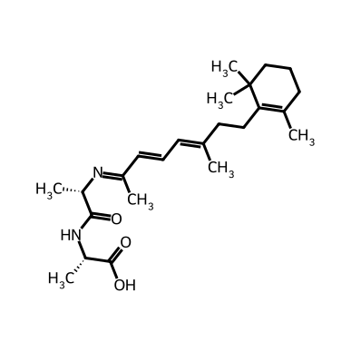 CC1=C(CC/C(C)=C/C=C/C(C)=N/[C@@H](C)C(=O)N[C@@H](C)C(=O)O)C(C)(C)CCC1